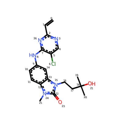 C=Cc1ncc(Cl)c(Nc2ccc3c(c2)n(CCC(C)(C)O)c(=O)n3C)n1